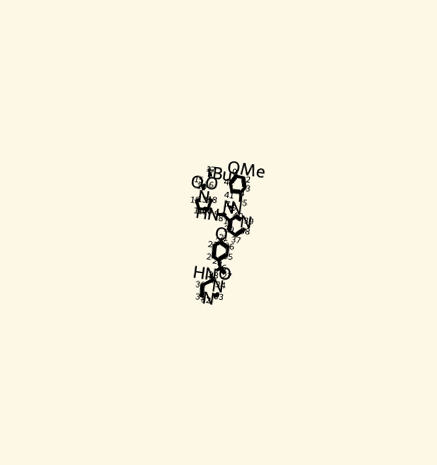 COc1ccc(Cn2nc(N[C@@H]3CCN(C(=O)OC(C)(C)C)C3)c3c(Oc4ccc(C(=O)Nc5ccncn5)cc4)ccnc32)cc1